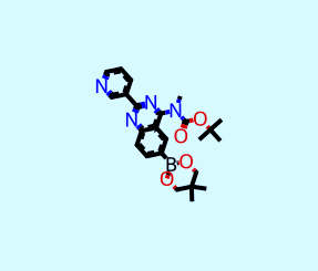 CN(C(=O)OC(C)(C)C)c1nc(-c2cccnc2)nc2ccc(B3OCC(C)(C)CO3)cc12